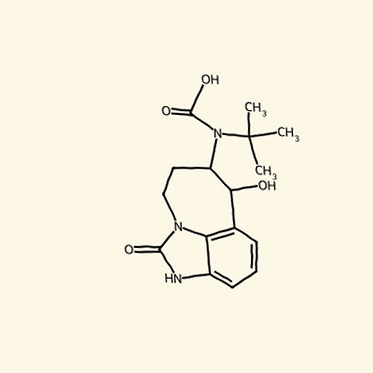 CC(C)(C)N(C(=O)O)C1CCn2c(=O)[nH]c3cccc(c32)C1O